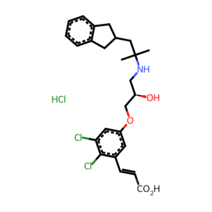 CC(C)(CC1Cc2ccccc2C1)NC[C@@H](O)COc1cc(Cl)c(Cl)c(C=CC(=O)O)c1.Cl